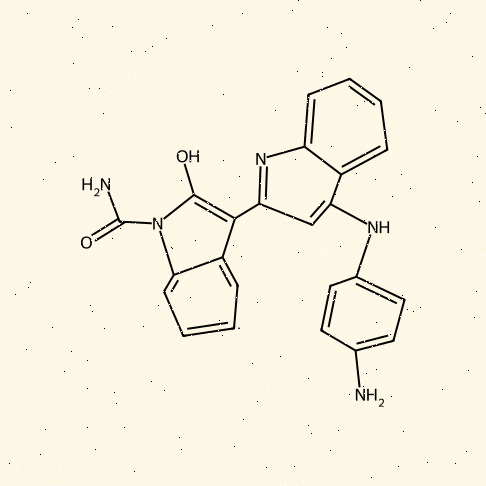 NC(=O)n1c(O)c(-c2cc(Nc3ccc(N)cc3)c3ccccc3n2)c2c[c]ccc21